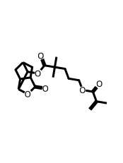 C=C(C)C(=O)OCCCC(C)(C)C(=O)OC1C2CC3C(=O)OC1C3C2